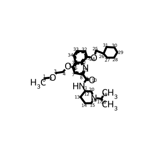 CCOCCOc1cc(C(=O)N[C@@H]2CCCN(C(C)C)C2)nc2c(OCC3CCCCC3)cccc12